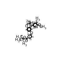 [2H]C1([2H])COc2ccc(OC3CCN(C(=O)OC(C)(C)C)C3)cc2N1c1cnc(OC)c(C)c1